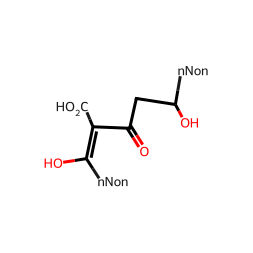 CCCCCCCCCC(O)=C(C(=O)O)C(=O)CC(O)CCCCCCCCC